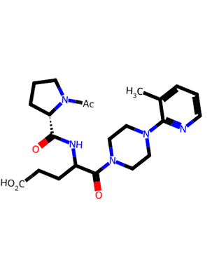 CC(=O)N1CCC[C@H]1C(=O)NC(CCC(=O)O)C(=O)N1CCN(c2ncccc2C)CC1